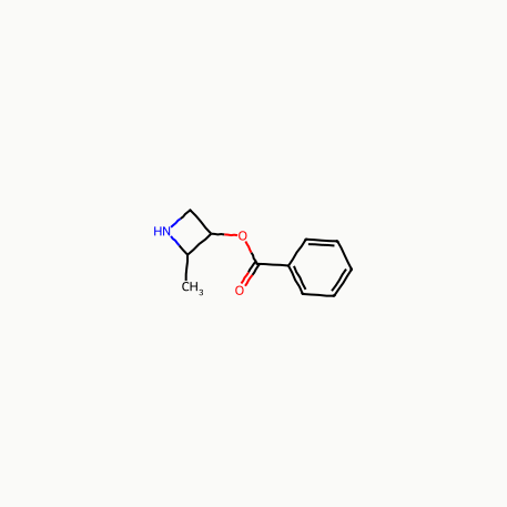 CC1NCC1OC(=O)c1ccccc1